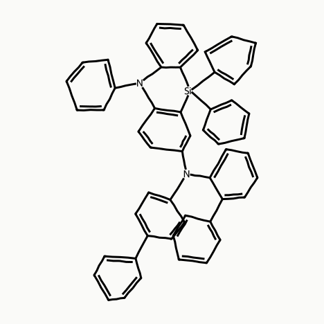 c1ccc(-c2ccc(N(c3ccc4c(c3)[Si](c3ccccc3)(c3ccccc3)c3ccccc3N4c3ccccc3)c3ccccc3-c3ccccc3)cc2)cc1